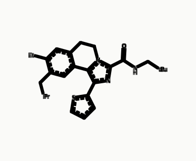 CCc1cc2c(cc1CC(C)C)-c1c(-c3cccs3)nc(C(=O)NCC(C)(C)C)n1CC2